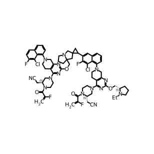 C=C(F)C(=O)N1CCN(c2nc(OCC34CCCN3CC3(CC3c3cc5cccc(N6CCc7c(nc(OC[C@@H]8CCCN8CC)nc7N7CCN(C(=O)C(=C)F)[C@@H](CC#N)C7)C6)c5c(Cl)c3F)C4)nc3c2CCN(c2cccc4ccc(F)c(Cl)c24)C3)C[C@@H]1CC#N